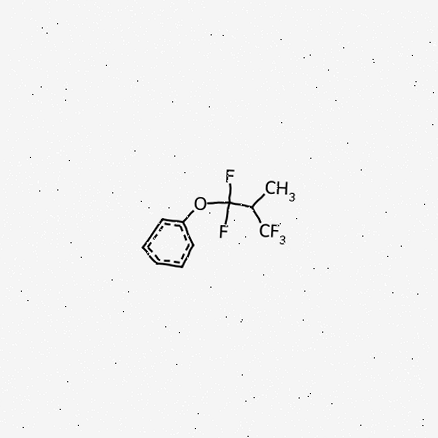 CC(C(F)(F)F)C(F)(F)Oc1ccccc1